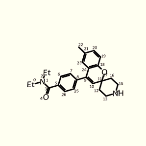 CCN(CC)C(=O)c1ccc(C2=CC3(CCNCC3)Oc3ccc(C)cc32)cc1